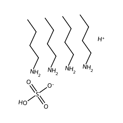 CCCCN.CCCCN.CCCCN.CCCCN.O=S(=O)([O-])O.[H+]